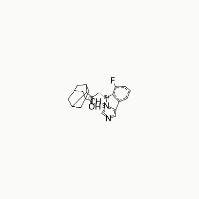 CC12CC3CC(C1)C([C@H](O)C[C@@H]1c4c(F)cccc4-c4cncn41)C(C3)C2